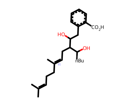 CCCCC(O)C(C/C=C(\C)CCC=C(C)C)C(O)Cc1ccccc1C(=O)O